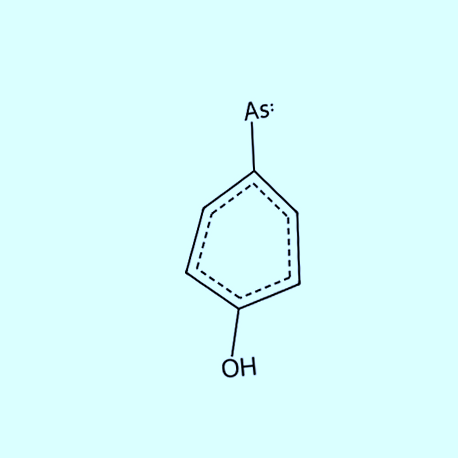 Oc1ccc([As])cc1